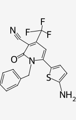 N#Cc1c(C(F)(F)F)cc(-c2ccc(N)s2)n(Cc2ccccc2)c1=O